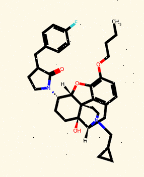 CCCCOc1ccc2c3c1O[C@H]1[C@@H](N4CCC(Cc5ccc(F)cc5)C4=O)CC[C@@]4(O)[C@@H](C2)N(CC2CC2)CC[C@]314